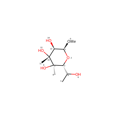 CO[C@H]1O[C@H](C(C)O)[C@@](C)(O)[C@](C)(O)[C@H]1O